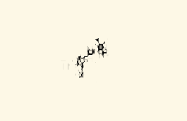 CCc1nc(C(N)=O)c(Nc2cncc(CCNC(=O)[C@H](C)N(C)C(=O)/C=C/CN(C)C)c2)nc1C1CC1